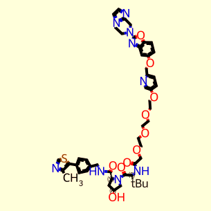 Cc1ncsc1-c1ccc(CNC(=O)[C@@H]2C[C@@H](O)CN2C(=O)[C@@H](NC(=O)COCCOCCOCCOc2ccc(COc3ccc4oc(N5CCn6ccnc6C5)nc4c3)nc2)C(C)(C)C)cc1